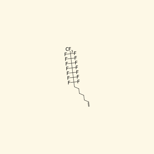 C=CCCCCCC(F)(F)C(F)(F)C(F)(F)C(F)(F)C(F)(F)C(F)(F)C(F)(F)C(F)(F)F